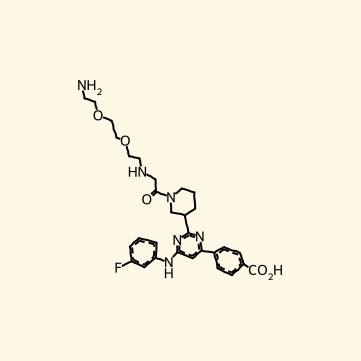 NCCOCCOCCNCC(=O)N1CCCC(c2nc(Nc3cccc(F)c3)cc(-c3ccc(C(=O)O)cc3)n2)C1